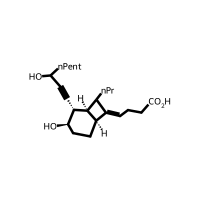 CCCCCC(O)C#C[C@@H]1[C@H]2C(CCC)C(=CCCC(=O)O)[C@H]2CC[C@H]1O